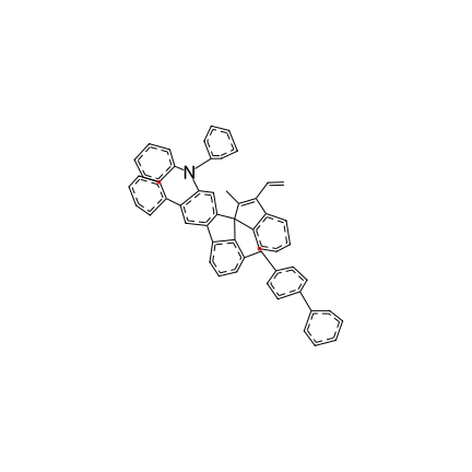 C=CC1=C(C)C2(c3ccccc31)c1cc(N(c3ccccc3)c3ccccc3)c(-c3ccccc3)cc1-c1cccc(Cc3ccc(-c4ccccc4)cc3)c12